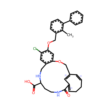 Cc1c(COc2cc3c(cc2Cl)CNC(C(=O)O)CCNC(=O)C2=C\CC\C=C/C(=C\2)CO3)cccc1-c1ccccc1